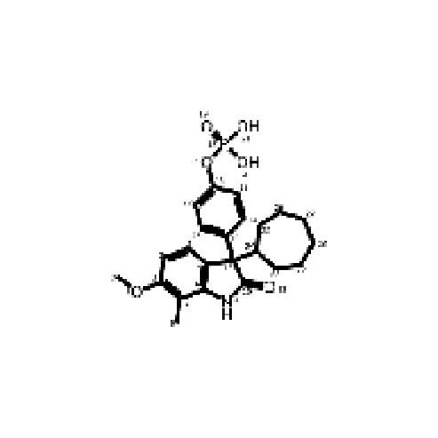 COc1ccc2c(c1C)NC(=O)C2(c1ccc(OP(=O)(O)O)cc1)C1CCCCCC1